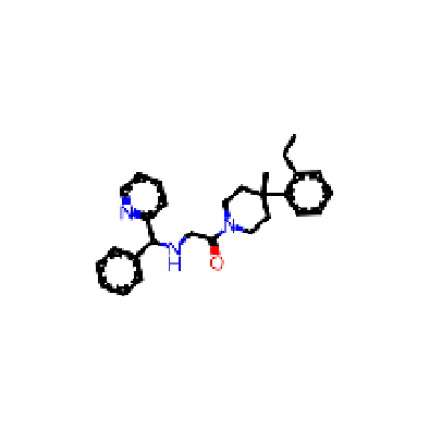 CCc1ccccc1C1(C)CCN(C(=O)CNC(c2ccccc2)c2ccccn2)CC1